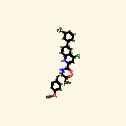 COC(=O)[C@H](Cc1ccc(OC(C)(C)C)cc1)NC(=O)c1cc(Cl)c2cc(-c3cccc(C(F)(F)F)c3)ccc2n1